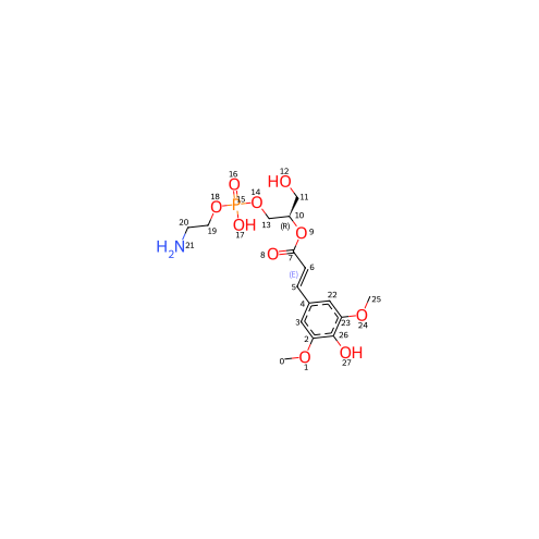 COc1cc(/C=C/C(=O)O[C@H](CO)COP(=O)(O)OCCN)cc(OC)c1O